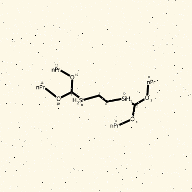 CCCOC(OCCC)[SiH2]CC[SiH2]C(OCCC)OCCC